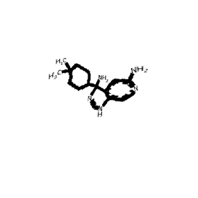 CC1(C)CCC(C2(N)N=CNc3cnc(N)cc32)CC1